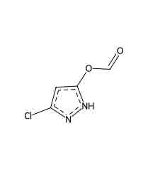 O=COc1cc(Cl)n[nH]1